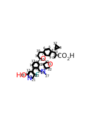 C[C@H](C(=O)O)[C@H](c1ccc2c(c1)O[C@H](c1ccc(-c3cc(O)ncc3F)c(CN(C)C3CCOC3)c1)CC2)C1CC1